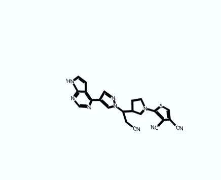 N#CCC(C1CCN(c2scc(C#N)c2C#N)C1)n1cc(-c2ncnc3[nH]ccc23)cn1